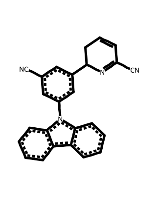 N#CC1=NC(c2cc(C#N)cc(-n3c4ccccc4c4ccccc43)c2)CC=C1